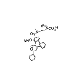 COc1c(C(=O)N(C)CCCN(C(=O)O)C(C)(C)C)sc2c1c(=O)n(CC(=O)c1ccccc1)c1ccccc21